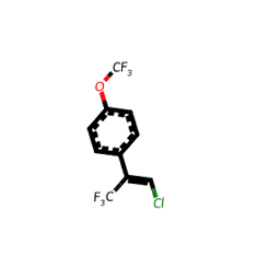 FC(F)(F)Oc1ccc(C(=CCl)C(F)(F)F)cc1